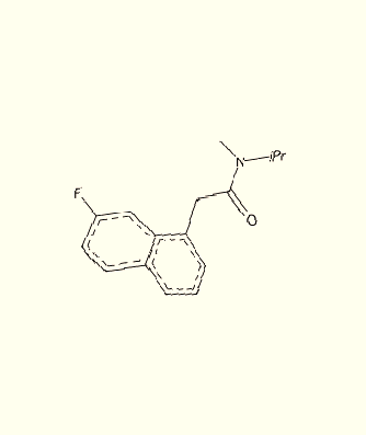 CC(C)N(C)C(=O)Cc1cccc2ccc(F)cc12